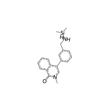 Cn1cc(-c2cccc(CN[SiH](C)C)c2)c2ccccc2c1=O